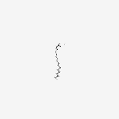 CCCCCCCCCCCCCCCC(=O)C(C)(O)C(=O)O